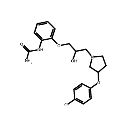 NC(=O)Nc1ccccc1OCC(O)CN1CCC(Oc2ccc(Cl)cc2)C1